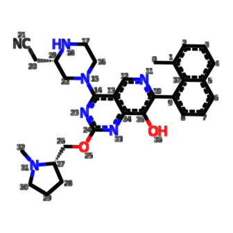 Cc1cccc2cccc(-c3ncc4c(N5CCN[C@@H](CC#N)C5)nc(OC[C@@H]5CCCN5C)nc4c3O)c12